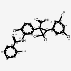 NC(=O)C1(c2ccc(Cl)c(NC(=O)c3ccccc3F)c2)C(c2cc(Cl)cc(Cl)c2)C1(Cl)Cl